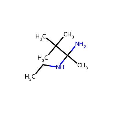 CCNC(C)(N)C(C)(C)C